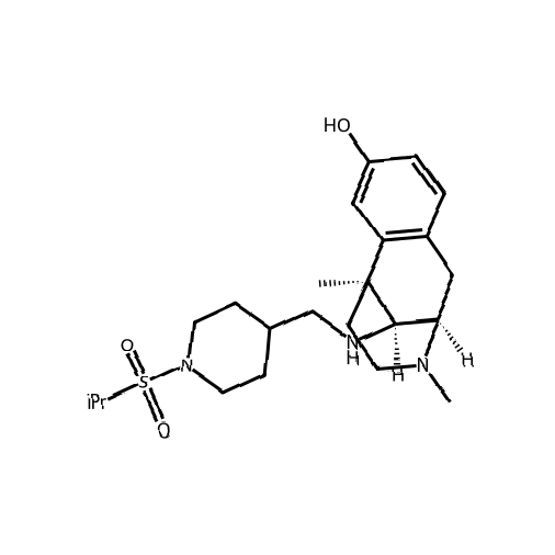 CC(C)S(=O)(=O)N1CCC(CN[C@@H]2[C@H]3Cc4ccc(O)cc4[C@]2(C)CCN3C)CC1